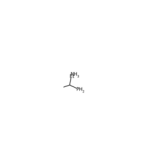 N.[CH2]CC(C)P